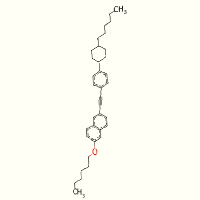 CCCCCCOc1ccc2cc(C#Cc3ccc(C4CCC(CCCCCC)CC4)cc3)ccc2c1